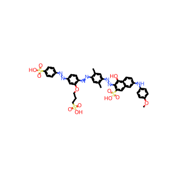 COc1ccc(Nc2ccc3c(O)c(N=Nc4cc(C)c(N=Nc5ccc(N=Nc6ccc(S(=O)(=O)O)cc6)cc5OCCCS(=O)(=O)O)cc4C)c(S(=O)(=O)O)cc3c2)cc1